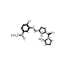 CCOC(=O)N(Cl)c1ccc(Cl)c(OC[C@H]2CC[C@@H](C(=O)N3CCC[C@H]3C#N)N2)c1